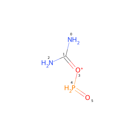 NC(N)=[O+][PH2]=O